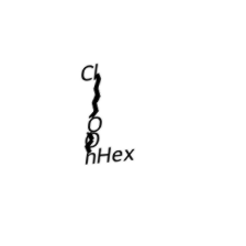 CCCCCCCOCOCCC=CCCCl